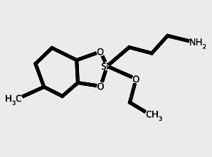 CCO[Si]1(CCCN)OC2CCC(C)CC2O1